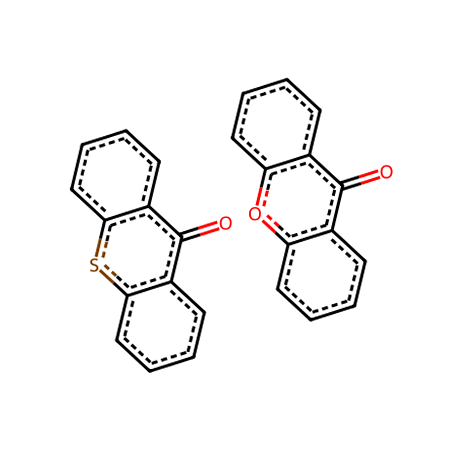 O=c1c2ccccc2oc2ccccc12.O=c1c2ccccc2sc2ccccc12